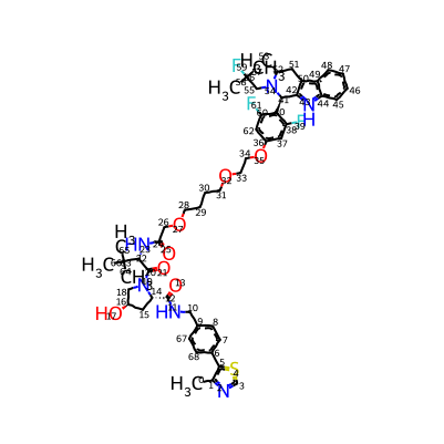 Cc1ncsc1-c1ccc(CNC(=O)[C@@H]2C[C@@H](O)CN2C(=O)[C@@H](NC(=O)COCCCCOCCOc2cc(F)c([C@@H]3c4[nH]c5ccccc5c4C[C@@H](C)N3CC(C)(C)F)c(F)c2)C(C)(C)C)cc1